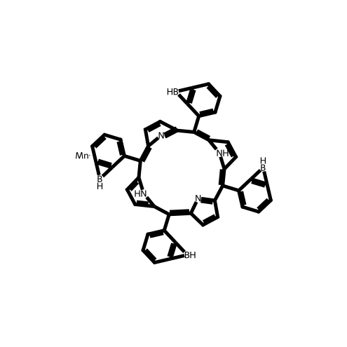 B1c2cccc(-c3c4nc(c(-c5cccc6c5B6)c5ccc([nH]5)c(-c5cccc6c5B6)c5nc(c(-c6cccc7c6B7)c6ccc3[nH]6)C=C5)C=C4)c21.[Mn]